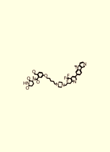 CN(C(=O)c1cc(OCCCCCN2CCN(CCCc3ncc(-c4ccc5c6cnccc6n(C)c5c4)cc3C(F)(F)F)CC2)ccc1C=O)C1CCC(=O)NC1=O